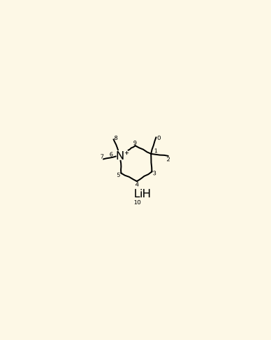 CC1(C)CCC[N+](C)(C)C1.[LiH]